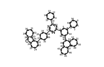 c1ccc(-c2cc(-c3nc(-c4ccccc4)nc(-c4ccc(-c5cccc6oc7ccccc7c56)cc4)n3)cc(-c3cc4ccccc4c4ccccc34)c2)cc1